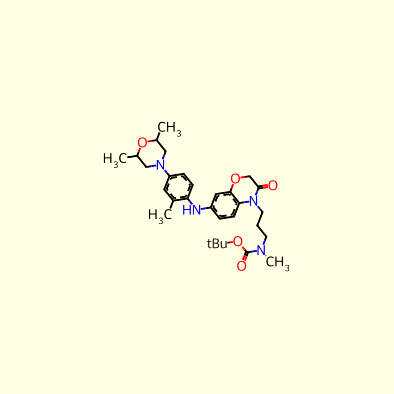 Cc1cc(N2CC(C)OC(C)C2)ccc1Nc1ccc2c(c1)OCC(=O)N2CCCN(C)C(=O)OC(C)(C)C